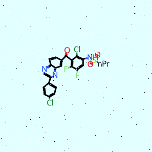 CCCS(=O)(=O)Nc1cc(F)c(F)c(C(=O)c2ccc3ncc(-c4ccc(Cl)cc4)nc3c2)c1Cl